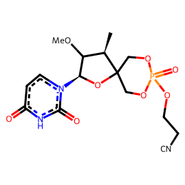 [C-]#[N+]CCOP1(=O)OCC2(CO1)O[C@@H](n1ccc(=O)[nH]c1=O)C(OC)[C@H]2C